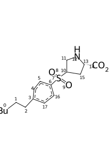 CC(C)(C)CCc1ccc(S(=O)(=O)C2CN[C@H](C(=O)O)C2)cc1